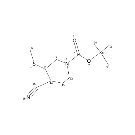 CSC1CN(C(=O)OC(C)(C)C)CCC1C#N